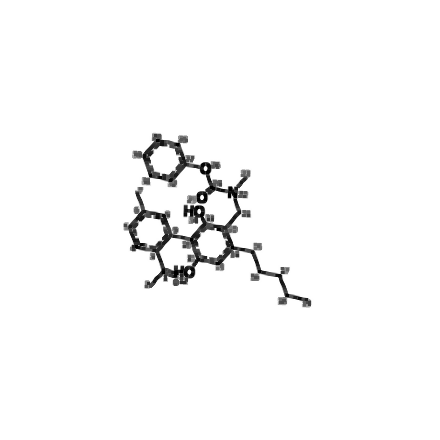 C=C(C)c1ccc(C)cc1-c1c(O)cc(CCCCC)c(CN(C)C(=O)Oc2ccccc2)c1O